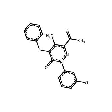 CC(=O)c1nn(-c2cccc(Cl)c2)c(=O)c(Sc2ccccc2)c1C